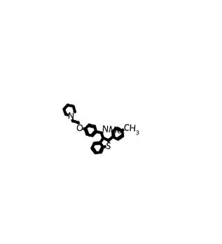 CNC(c1ccc(OCCN2CCCCC2)cc1)C1c2ccccc2SC1c1ccc(C)cc1